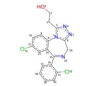 OCCc1nnc2n1-c1ccc(Cl)cc1C(c1ccccc1Cl)=NC2